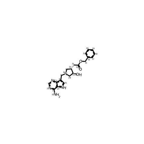 Nc1ncnc2c(CN3C[C@H](CC(=O)OCc4ccccc4)[C@@H](O)C3)c[nH]c12